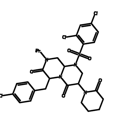 CC(C)N1CC2N(C(=O)C(N3CCCCC3=O)CN2S(=O)(=O)c2ccc(Cl)cc2Cl)C(Cc2ccc(Cl)cc2)C1=O